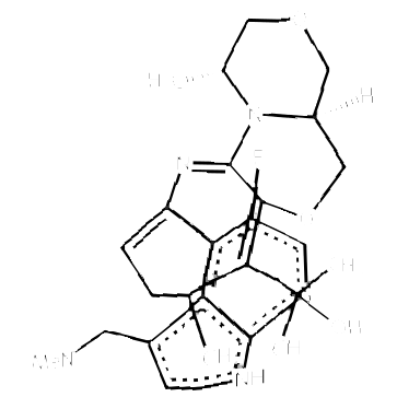 CNCc1c[nH]c2ncc(F)c(C3=C/CC(C)/C(C(C)(C)O)=C4/OC[C@@H]5COC[C@@H](C)N5/C4=N/3)c12